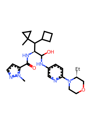 CC[C@@H]1COCCN1c1ccc(NC(O)[C@@H](NC(=O)c2ccnn2C)C(C2CCC2)C2(C)CC2)cn1